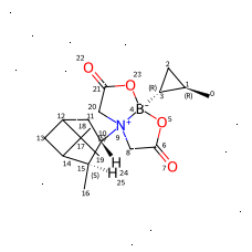 C[C@@H]1C[C@H]1[B-]12OC(=O)C[N+]1([C@H]1CC3CC([C@@H]1C)C3(C)C)CC(=O)O2